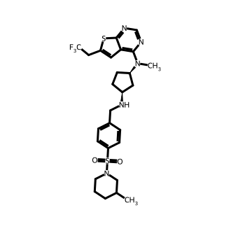 CC1CCCN(S(=O)(=O)c2ccc(CN[C@H]3CC[C@@H](N(C)c4ncnc5sc(CC(F)(F)F)cc45)C3)cc2)C1